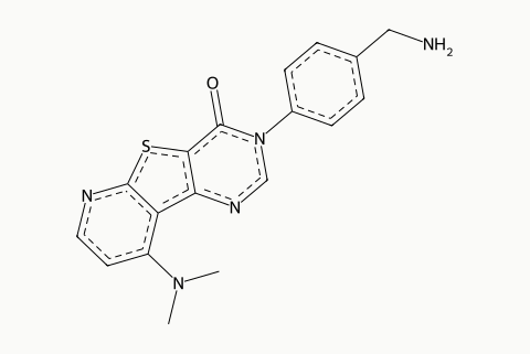 CN(C)c1ccnc2sc3c(=O)n(-c4ccc(CN)cc4)cnc3c12